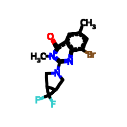 Cc1cc(Br)c2nc(N3CC4C(C3)C4(F)F)n(C)c(=O)c2c1